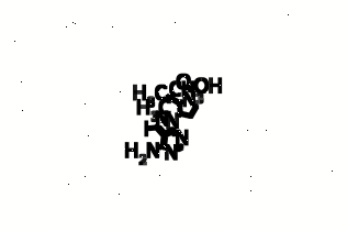 CC(C)(C)C1C(n2nc(I)c3c(N)ncnc32)CCN1C(=O)O